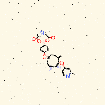 C=C1CC[C@@H](Oc2ccc(B3OC(=O)CN(C)CC(=O)O3)cc2)C/C=C\C=C/1Oc1ccnc(C)c1